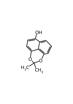 CC1(C)Oc2cccc3c(O)ccc(c23)O1